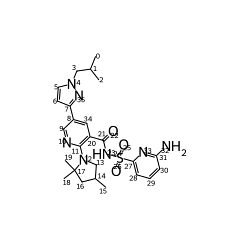 CC(C)Cn1ccc(-c2cnc(N3CC(C)CC3(C)C)c(C(=O)NS(=O)(=O)c3cccc(N)n3)c2)n1